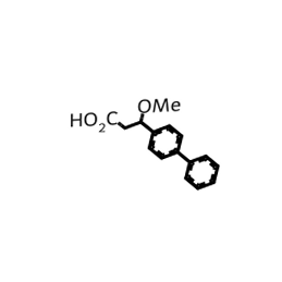 COC(CC(=O)O)c1ccc(-c2ccccc2)cc1